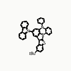 CC(C)(C)c1ccc2sc3c(c2c1)-c1cc(-n2c4ccccc4c4ccccc42)cc2c1B3c1ccccc1N2c1ccccc1